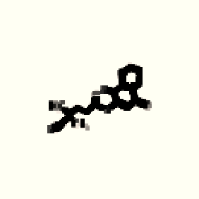 CC(C)(C#N)CCC(=O)OC1=CC(=O)c2ccccc2C1=O